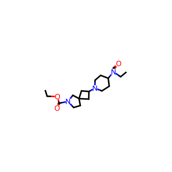 CCOC(=O)N1CCC2(CC(N3CCC(N(C=O)CC)CC3)C2)C1